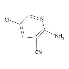 N#Cc1cc(Cl)cnc1N